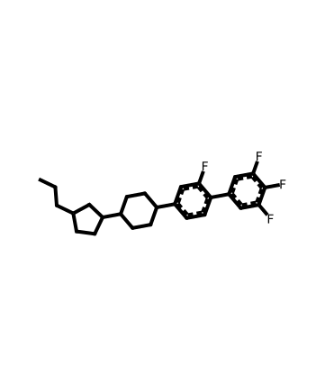 CCCC1CCC(C2CCC(c3ccc(-c4cc(F)c(F)c(F)c4)c(F)c3)CC2)C1